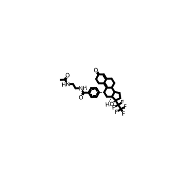 CC(=O)NCCNC(=O)c1ccc([C@H]2C[C@@]3(C)C(CC[C@]3(O)C(F)(F)C(F)(F)F)C3CCC4=CC(=O)CCC4=C32)cc1